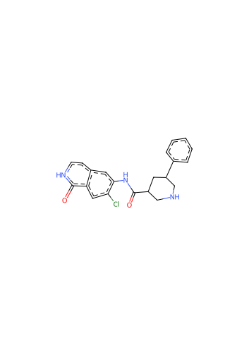 O=C(Nc1cc2cc[nH]c(=O)c2cc1Cl)C1CNCC(c2ccccc2)C1